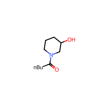 CCCCC(=O)N1CCCC(O)C1